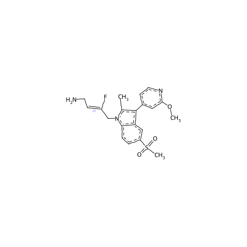 COc1cc(-c2c(C)n(C/C(F)=C/CN)c3ccc(S(C)(=O)=O)cc23)ccn1